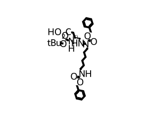 CC(C)(C)OC(=O)N[C@H](CNN(CCCCCCNC(=O)OCc1ccccc1)C(=O)OCc1ccccc1)CC(=O)O